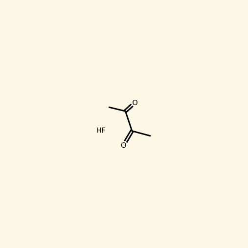 CC(=O)C(C)=O.F